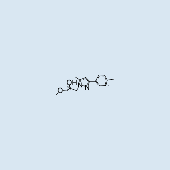 COC[C@@H](O)Cn1nc(-c2c[c]c(C)cc2)cc1C